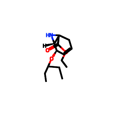 CCOC(=O)[C@@]12CC=C[C@@H](OC(CC)CC)[C@@H]1N2